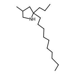 CCCCCCCCCCC1(CCC)CC(C)CN1